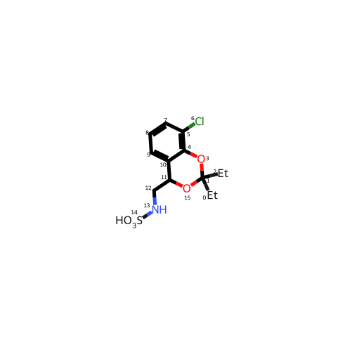 CCC1(CC)Oc2c(Cl)cccc2C(CNS(=O)(=O)O)O1